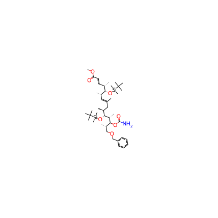 COC(=O)C=C[C@H](C)[C@H](O[Si](C)(C)C(C)(C)C)[C@@H](C)C=C(C)C[C@H](C)[C@@H](O[Si](C)(C)C(C)(C)C)[C@H](C)[C@@H](OC(N)=O)[C@@H](C)COCc1ccccc1